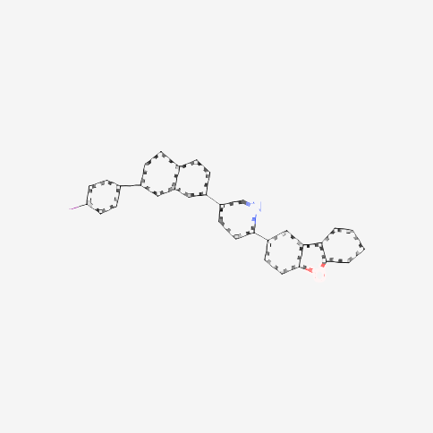 Ic1ccc(-c2ccc3ccc(-c4ccc(-c5ccc6oc7ccccc7c6c5)nc4)cc3c2)cc1